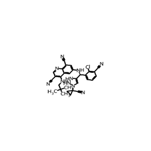 CC(C)(C)CNc1c(C#N)cnc2c(C#N)cc(N[C@H](C3=CN(C4(C#N)CC4)NN3)c3cccc(C#N)c3Cl)cc12